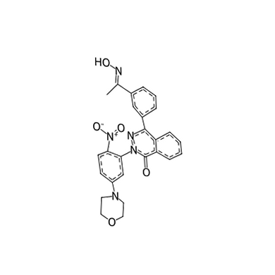 C/C(=N\O)c1cccc(-c2nn(-c3cc(N4CCOCC4)ccc3[N+](=O)[O-])c(=O)c3ccccc23)c1